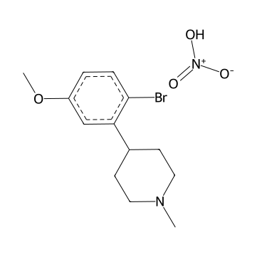 COc1ccc(Br)c(C2CCN(C)CC2)c1.O=[N+]([O-])O